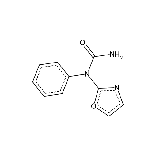 NC(=O)N(c1ccccc1)c1ncco1